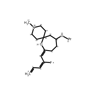 C=C/C=C(F)\C=C1/CCC(OC(C)C)CC2(CCN(C)CC2)O1